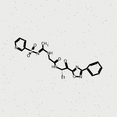 CC[C@H](NC(=O)CN/C(C)=N/S(=O)(=O)c1cccnc1)C(=O)c1nc(-c2ccccc2)no1